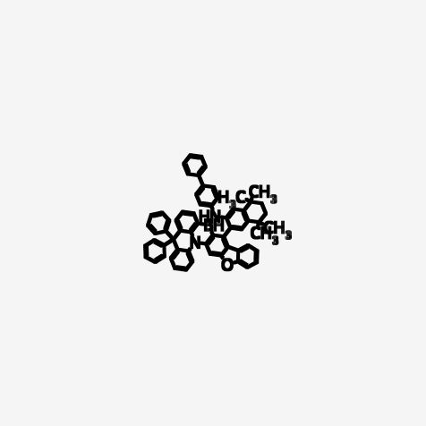 CC1(C)CCC(C)(C)c2cc(-c3c4c(cc5oc6ccccc6c35)N3c5ccccc5C(c5ccccc5)(c5ccccc5)c5cccc(c53)B4)c(Nc3ccc(-c4ccccc4)cc3)cc21